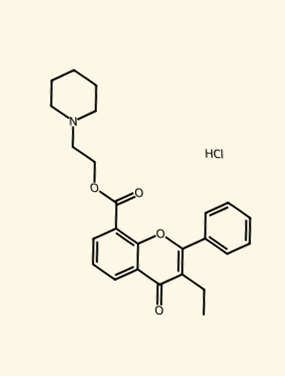 CCc1c(-c2ccccc2)oc2c(C(=O)OCCN3CCCCC3)cccc2c1=O.Cl